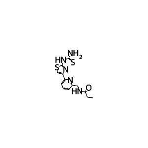 CCC(=O)NCc1cccc(-c2csc(NC(N)=S)n2)n1